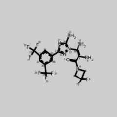 B/C(C(=O)N1CC(F)(F)C1)=C(\B)n1nc(-c2cc(C(F)(F)F)cc(C(F)(F)F)c2)nc1B